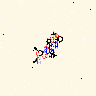 C#CCCC(NC(=O)[C@@H]1[C@@H]2C(CN1C(=O)[C@@H](NC(=O)NC1(CS(=O)(=O)C(C)(C)C)CCCCC1)C1(C)CCCC1)C2(C)C)C(=O)C(=O)NCC=C